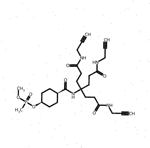 C#CCNC(=O)CCC(CCC(=O)NCC#C)(CCC(=O)NCC#C)NC(=O)[C@H]1CC[C@@H](OP(C)(=O)OC)CC1